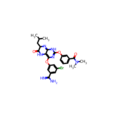 CC(C)CC1N=C2NC(Oc3cccc(C(=O)N(C)C)c3)=NC(Oc3cc(Br)cc(C(=N)N)c3)=C2NC1=O